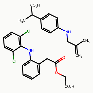 C=C(C)CNc1ccc(C(C)C(=O)O)cc1.O=C(O)COC(=O)Cc1ccccc1Nc1c(Cl)cccc1Cl